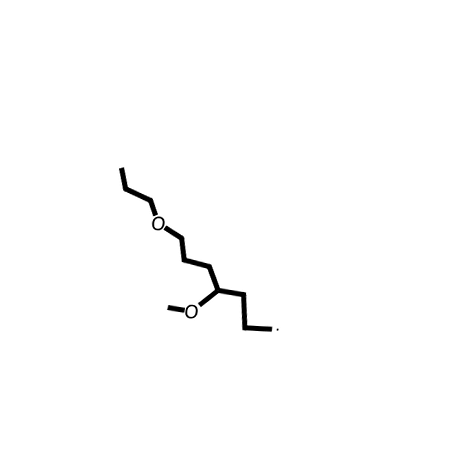 [CH2]CCC(CCCOCCC)OC